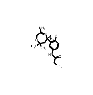 CC1(C)C[C@@](C)(c2cc(NC(=O)CC(F)(F)F)ccc2F)N=C(N)CO1